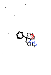 CCC(C)(c1ccccc1)C1(N)CO1